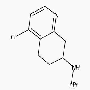 CCCNC1CCc2c(Cl)ccnc2C1